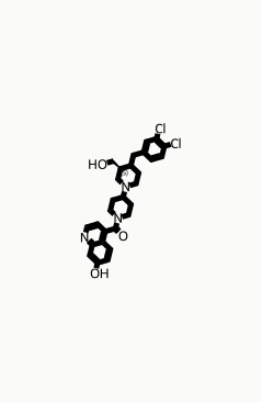 O=C(c1ccnc2cc(O)ccc12)N1CCC(N2CCC(Cc3ccc(Cl)c(Cl)c3)[C@H](CO)C2)CC1